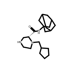 O=C(NC12CC3CC(CC(C3)C1)C2)[C@H]1CNCCN1CC1CCCC1